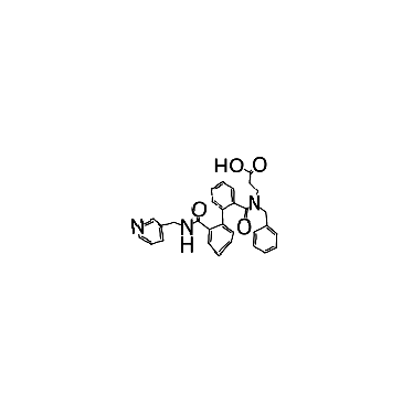 O=C(O)CCN(Cc1ccccc1)C(=O)c1ccccc1-c1ccccc1C(=O)NCc1cccnc1